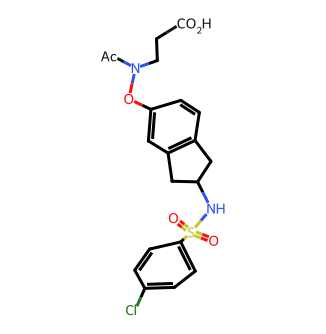 CC(=O)N(CCC(=O)O)Oc1ccc2c(c1)CC(NS(=O)(=O)c1ccc(Cl)cc1)C2